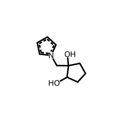 OC1CCCC1(O)Cn1cccc1